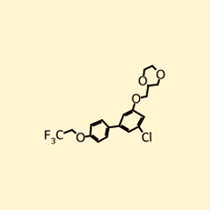 FC(F)(F)COc1ccc(-c2cc(Cl)cc(OCC3COCCO3)c2)cc1